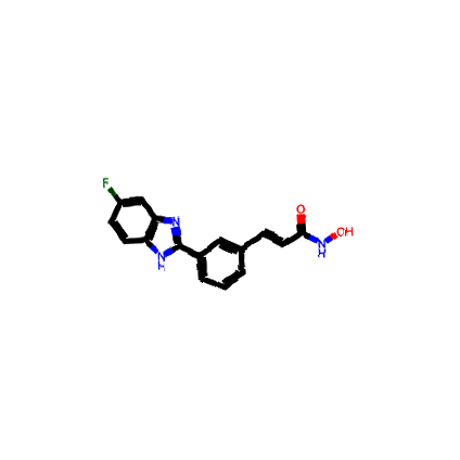 O=C(C=Cc1cccc(-c2nc3cc(F)ccc3[nH]2)c1)NO